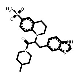 CC1CCN(C(=O)C(Cc2ccc3[nH]cnc3c2)N2CCCc3cc(S(N)(=O)=O)ccc32)CC1